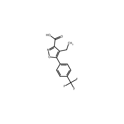 CCc1c(C(=O)O)noc1-c1ccc(C(F)(F)F)cc1